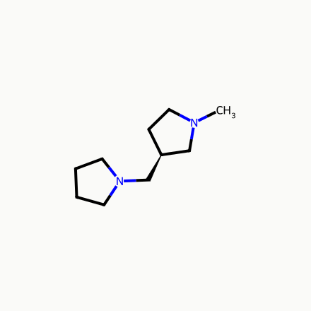 CN1CC[C@H](CN2CCCC2)C1